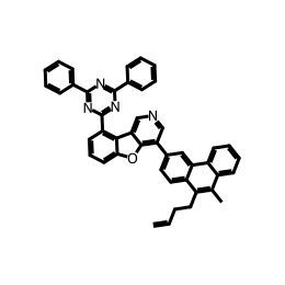 C=CCCc1c(C)c2ccccc2c2cc(-c3cncc4c3oc3cccc(-c5nc(-c6ccccc6)nc(-c6ccccc6)n5)c34)ccc12